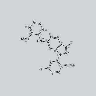 COc1ccc(F)cc1-n1nc(C)c2cnc(Nc3nccnc3OC)cc21